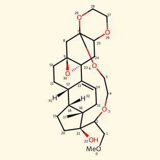 COCC1OCCOC23C[C@@]45CC[C@@H]6C(=CC[C@@]7(C)[C@@H]6CC[C@@]17O)[C@@]4(CC2OCCO3)O5